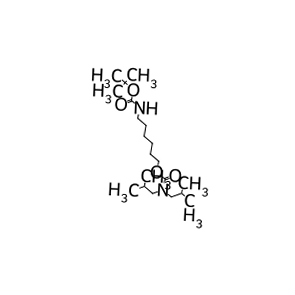 CC(C)CN(CC(C)C)C(=O)OCCCCCCNC(=O)OC(C)(C)C